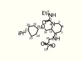 CCNC(=O)N1CCCC(NCS(C)(=O)=O)C1CO[C@H]1CC[C@@H](C(C)C)CC1